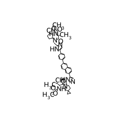 COC(=O)N[C@@H](C)C(=O)N(Cc1ncc(-c2ccc(-c3ccc4cc(-c5cnc([C@@H]6CC7(CC7)CN6C(=O)[C@@H](NC(=O)OC)C(C)C)[nH]5)ccc4c3)cc2)[nH]1)C1CCC(C)C1